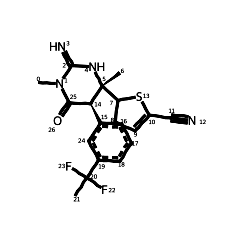 CN1C(=N)N[C@](C)(C2CC=C(C#N)S2)[C@@H](c2cccc(C(C)(F)F)c2)C1=O